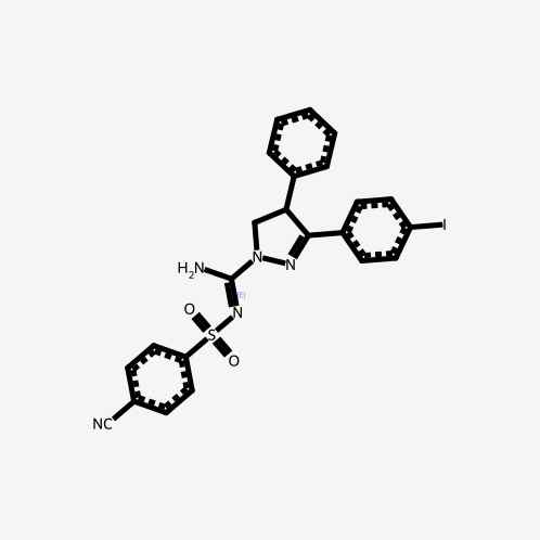 N#Cc1ccc(S(=O)(=O)/N=C(\N)N2CC(c3ccccc3)C(c3ccc(I)cc3)=N2)cc1